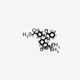 CCC(C)c1ccc(-n2c(-c3cccc([N+](=O)[O-])c3C=CN(C)C)nc3ccccc3c2=O)cc1